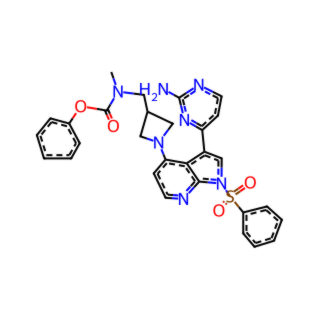 CN(CC1CN(c2ccnc3c2c(-c2ccnc(N)n2)cn3S(=O)(=O)c2ccccc2)C1)C(=O)Oc1ccccc1